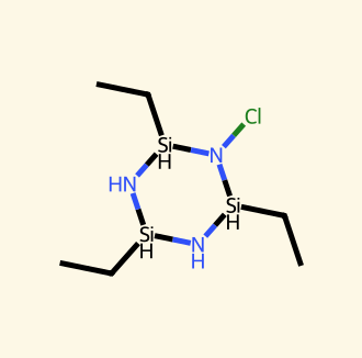 CC[SiH]1N[SiH](CC)N(Cl)[SiH](CC)N1